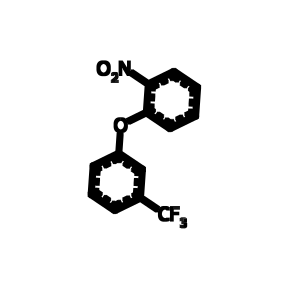 O=[N+]([O-])c1ccccc1Oc1cccc(C(F)(F)F)c1